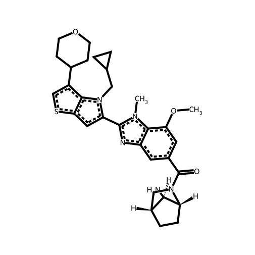 COc1cc(C(=O)N2C[C@H]3CC[C@@H]2[C@@H]3N)cc2nc(-c3cc4scc(C5CCOCC5)c4n3CC3CC3)n(C)c12